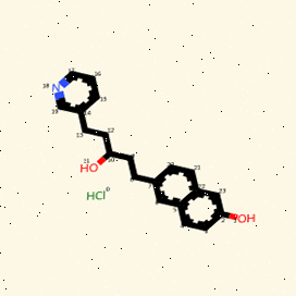 Cl.Oc1ccc2cc(CCC(O)CCc3cccnc3)ccc2c1